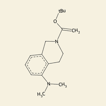 C=C(OC(C)(C)C)N1CCc2c(cccc2N(C)C)C1